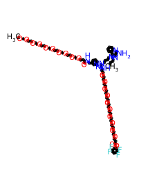 CCCCc1nc2c(N)nc3ccccc3c2n1CCCCN/C(=N\c1cccc(CNC(=O)CCOCCOCCOCCOCCOCCOCCOCCOCCOCCOC)c1)NCCOCCOCCOCCOCCOCCOCCOCCOCCOCCOCCC(=O)Oc1c(F)c(F)cc(F)c1F